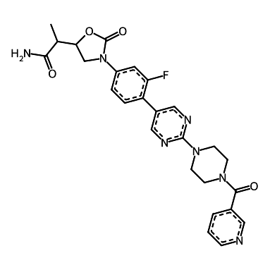 CC(C(N)=O)C1CN(c2ccc(-c3cnc(N4CCN(C(=O)c5cccnc5)CC4)nc3)c(F)c2)C(=O)O1